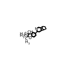 CC1(C)Oc2ccc(-c3cc4c(cn3)C3CCC4C3)cc2C1(C)C